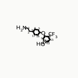 NCCc1ccc(Oc2c[n+](O)ccc2C(F)(F)F)cc1